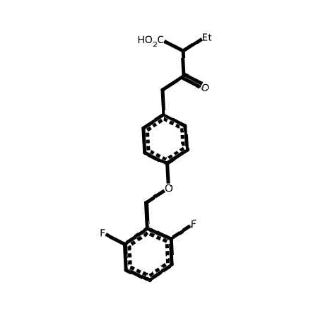 CCC(C(=O)O)C(=O)Cc1ccc(OCc2c(F)cccc2F)cc1